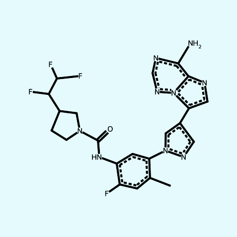 Cc1cc(F)c(NC(=O)N2CCC(C(F)C(F)F)C2)cc1-n1cc(-c2cnc3c(N)ncnn23)cn1